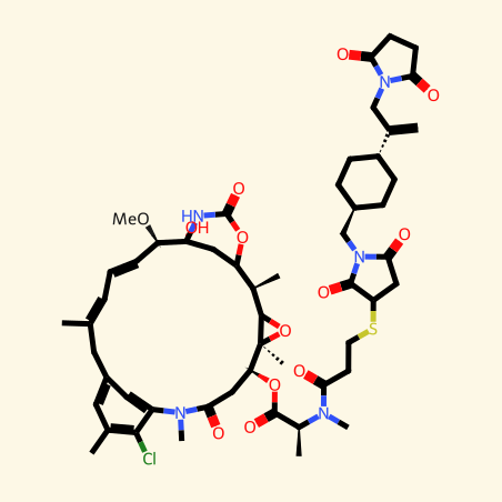 C=C(CN1C(=O)CCC1=O)[C@H]1CC[C@H](CN2C(=O)CC(SCCC(=O)N(C)[C@@H](C)C(=O)O[C@H]3CC(=O)N(C)c4cc(cc(C)c4Cl)C/C(C)=C/C=C/[C@@H](OC)[C@@]4(O)CC(OC(=O)N4)[C@@H](C)C4O[C@]43C)C2=O)CC1